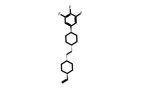 C=C[C@H]1CC[C@H](CC[C@H]2CC[C@H](c3cc(F)c(F)c(F)c3)CC2)CC1